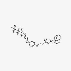 CC(F)(F)C(F)(F)C(F)(F)OOSOc1ccc(SCCC(=O)OC(C)(C)C23CC4CC(CC(C4)C2)C3)cc1